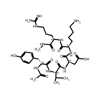 CNC(=O)[C@@H](CCCNC(=N)N)NC(=O)[C@@H](CCCCN)NC(=O)[C@@H](CC(=O)O)NC(=O)[C@H](NC(=O)[C@@H](Cc1ccc(O)cc1)NC(C)=O)C(C)C